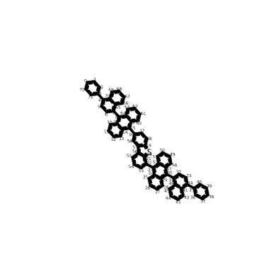 c1ccc(-c2ccc(-c3c4ccccc4c(-c4ccc5sc6c(-c7c8ccccc8c(-c8ccc(-c9ccccc9)c9ccccc89)c8ccccc78)cccc6c5c4)c4ccccc34)c3ccccc23)cc1